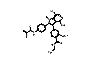 C=C(F)C(=O)Nc1ccc(-c2c(-c3ccc(C(=O)NCC(F)(F)F)c(OC)c3)c3c(N)ncc(C#N)c3n2C)cc1